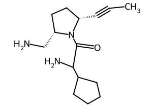 CC#C[C@H]1CC[C@@H](CN)N1C(=O)C(N)C1CCCC1